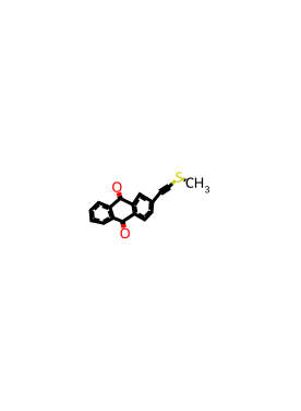 CSC#Cc1ccc2c(c1)C(=O)c1ccccc1C2=O